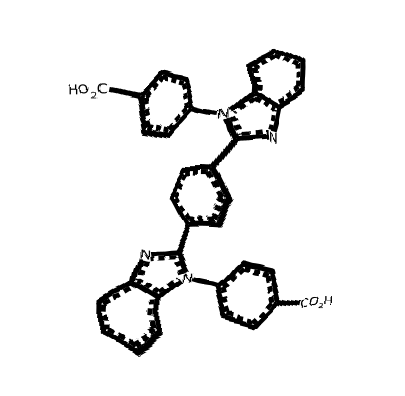 O=C(O)c1ccc(-n2c(-c3ccc(-c4nc5ccccc5n4-c4ccc(C(=O)O)cc4)cc3)nc3ccccc32)cc1